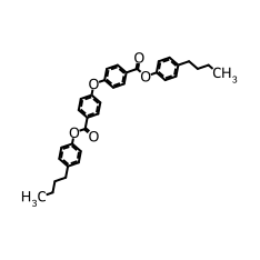 CCCCc1ccc(OC(=O)c2ccc(Oc3ccc(C(=O)Oc4ccc(CCCC)cc4)cc3)cc2)cc1